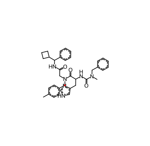 Cc1ccc(CN(CC(=O)NC(c2ccccc2)C2CCC2)C(=O)C(Cc2c[nH]cn2)NC(=O)N(C)Cc2ccccc2)cc1